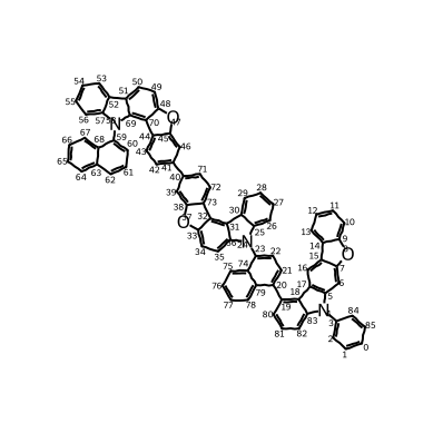 c1ccc(-n2c3cc4oc5ccccc5c4cc3c3c(-c4ccc(-n5c6ccccc6c6c7c(ccc65)oc5cc(-c6ccc8c(c6)oc6ccc9c%10ccccc%10n(-c%10cccc%11ccccc%10%11)c9c68)ccc57)c5ccccc45)cccc32)cc1